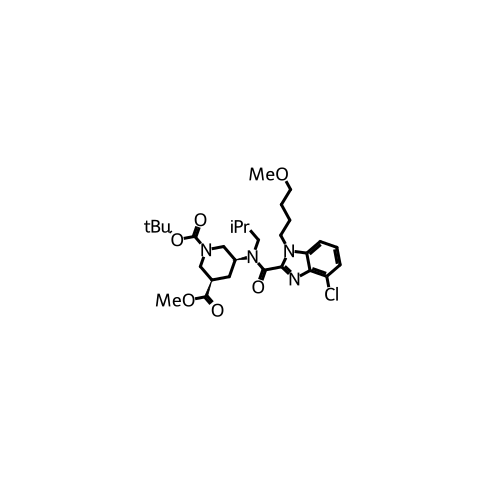 COCCCCn1c(C(=O)N(CC(C)C)[C@H]2C[C@@H](C(=O)OC)CN(C(=O)OC(C)(C)C)C2)nc2c(Cl)cccc21